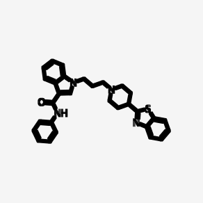 O=C(Nc1ccccc1)c1cn(CCCN2CCC(c3nc4ccccc4s3)CC2)c2ccccc12